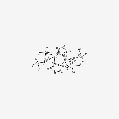 C[Si](C)(C)C#CC1(O[Si](C)(C)C)c2ccsc2C(C#C[Si](C)(C)C)(O[Si](C)(C)C)c2ccsc21